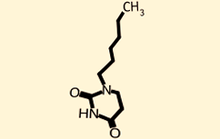 CCCCCCN1CCC(=O)NC1=O